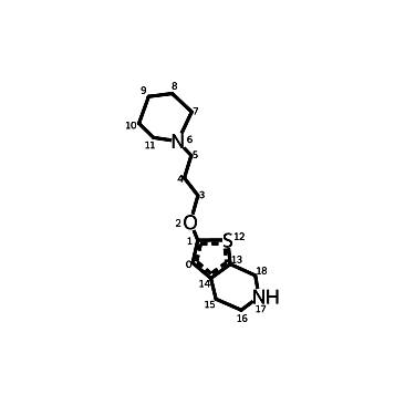 c1c(OCCCN2CCCCC2)sc2c1CCNC2